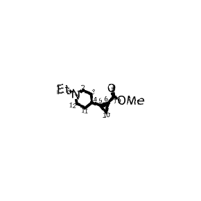 CCN1CCC(C2=C(C(=O)OC)C2)CC1